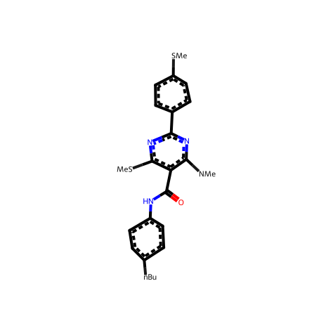 CCCCc1ccc(NC(=O)c2c(NC)nc(-c3ccc(SC)cc3)nc2SC)cc1